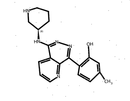 Cc1ccc(-c2nnc(N[C@@H]3CCCNC3)c3cccnc23)c(O)c1